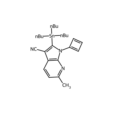 CCC[CH2][Sn]([CH2]CCC)([CH2]CCC)[c]1c(C#N)c2ccc(C)nc2n1C1=CC=C1